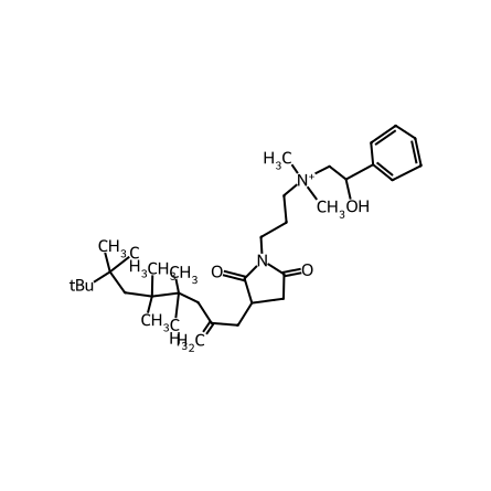 C=C(CC1CC(=O)N(CCC[N+](C)(C)CC(O)c2ccccc2)C1=O)CC(C)(C)C(C)(C)CC(C)(C)C(C)(C)C